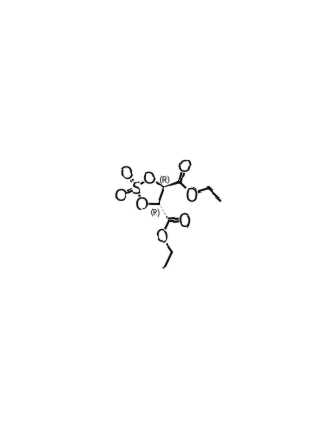 CCOC(=O)[C@@H]1OS(=O)(=O)O[C@H]1C(=O)OCC